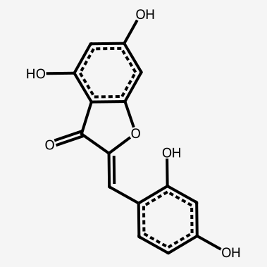 O=C1/C(=C/c2ccc(O)cc2O)Oc2cc(O)cc(O)c21